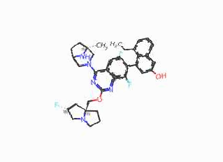 CCc1cccc2cc(O)cc(-c3c(F)cc4c(N5CC6CC[C@@](C)(C5)N6)nc(OC[C@@]56CCCN5C[C@H](F)C6)nc4c3F)c12